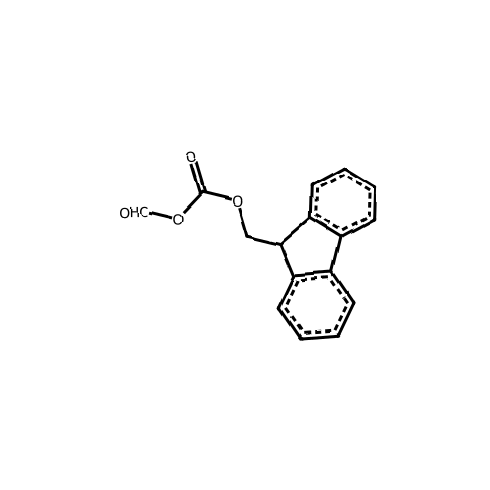 O=COC(=O)OCC1c2ccccc2-c2ccccc21